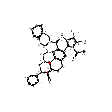 Cc1c(C)c(-c2cc3c(cc2C(=O)N2Cc4ccccc4C[C@H]2CCN2CCOCC2)CN(C(=O)Cc2ccccc2)CC3)n(C(N)=O)c1C